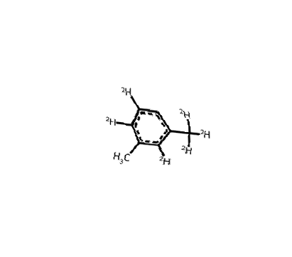 [2H]c1cc(C([2H])([2H])[2H])c([2H])c(C)c1[2H]